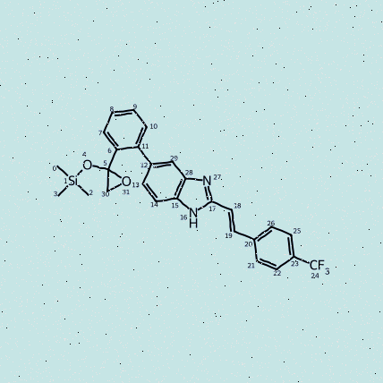 C[Si](C)(C)OC1(c2ccccc2-c2ccc3[nH]c(C=Cc4ccc(C(F)(F)F)cc4)nc3c2)CO1